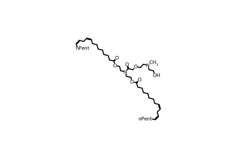 CCCCC/C=C\C/C=C\CCCCCCCC(=O)OCCN(CCOC(=O)CCCCCCC/C=C\C/C=C\CCCCC)C(=O)COCCN(C)CCO